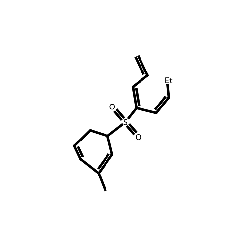 C=C/C=C(\C=C/CC)S(=O)(=O)C1C=C(C)C=CC1